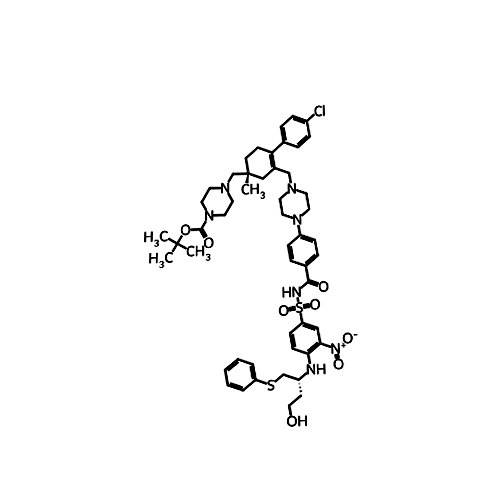 CC(C)(C)OC(=O)N1CCN(C[C@]2(C)CCC(c3ccc(Cl)cc3)=C(CN3CCN(c4ccc(C(=O)NS(=O)(=O)c5ccc(N[C@H](CCO)CSc6ccccc6)c([N+](=O)[O-])c5)cc4)CC3)C2)CC1